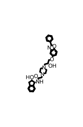 O=C(CN1CCN(C[C@@H](O)COc2ccc3oc(-c4ccccc4)nc3c2)CC1)N[C@H]1c2ccccc2C[C@@H]1O